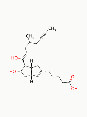 CC#CCC(C)CC=C(O)[C@H]1[C@@H]2CC(CCCCC(=O)O)=C[C@@H]2C[C@@H]1O